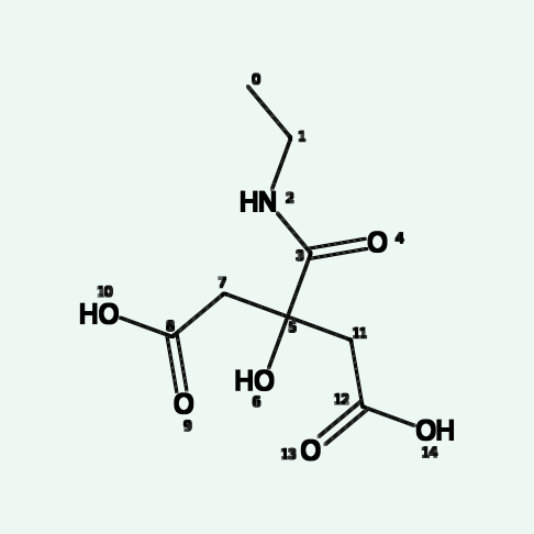 CCNC(=O)C(O)(CC(=O)O)CC(=O)O